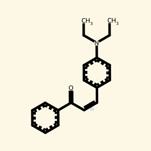 CCN(CC)c1ccc(/C=C\C(=O)c2ccccc2)cc1